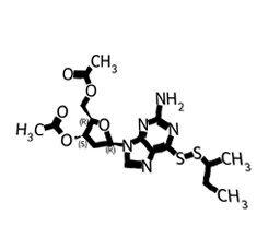 CCC(C)SSc1nc(N)nc2c1ncn2[C@H]1C[C@H](OC(C)=O)[C@@H](COC(C)=O)O1